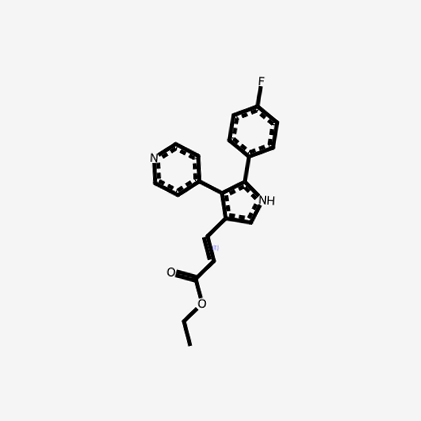 CCOC(=O)/C=C/c1c[nH]c(-c2ccc(F)cc2)c1-c1ccncc1